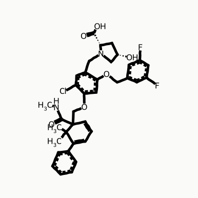 CNC(=O)C1(COc2cc(OCc3cc(F)cc(F)c3)c(CN3C[C@@H](O)C[C@H]3C(=O)O)cc2Cl)C=CC=C(c2ccccc2)C1(C)C